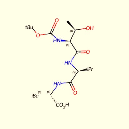 CC[C@H](C)[C@H](NC(=O)[C@@H](NC(=O)[C@@H](NC(=O)OC(C)(C)C)[C@@H](C)O)C(C)C)C(=O)O